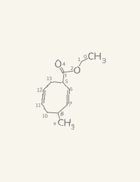 CCOC(=O)C1/C=C\C(C)C/C=C\C1